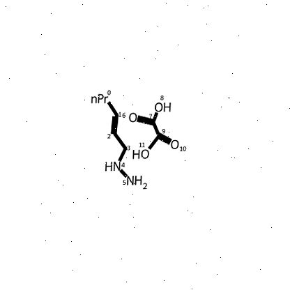 CCC/C=C/CNN.O=C(O)C(=O)O